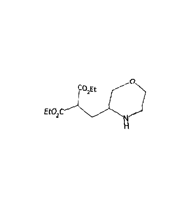 CCOC(=O)C(CC1COCCN1)C(=O)OCC